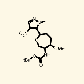 COC1CCC(c2c([N+](=O)[O-])cnn2C)OCC1NC(=O)OC(C)(C)C